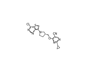 N#Cc1cnc(C2CC2)nc1OC[C@H]1CCN(c2csc3c(Cl)ncnc23)C1